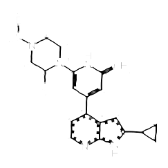 C=C1C=C(c2ccnc3[nH]c(C4CC4)cc23)C=C(N2CCN(SCC)CC2C(F)(F)F)N1